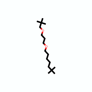 CC(C)(C)CCCCCOCCCOCC(C)(C)C